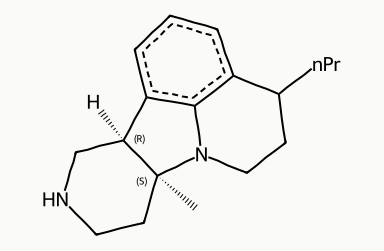 CCCC1CCN2c3c1cccc3[C@@H]1CNCC[C@@]12C